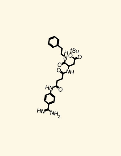 CC(C)(C)OC(=O)CC(NC(=O)CCC(=O)Nc1ccc(C(=N)N)cc1)C(=O)NCCc1ccccc1